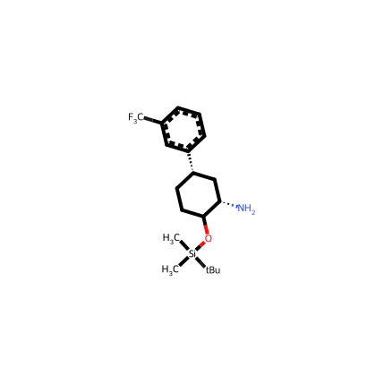 CC(C)(C)[Si](C)(C)OC1CC[C@H](c2cccc(C(F)(F)F)c2)C[C@@H]1N